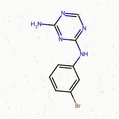 Nc1n[c]nc(Nc2cccc(Br)c2)n1